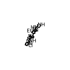 CCc1cc(-c2ccc3c(NS(=O)(=O)c4ccccc4Cl)ncnn23)cc2cnc(NC3CCCNC3)nc12